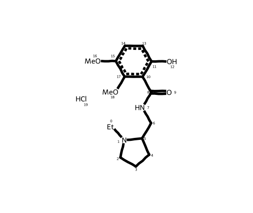 CCN1CCCC1CNC(=O)c1c(O)ccc(OC)c1OC.Cl